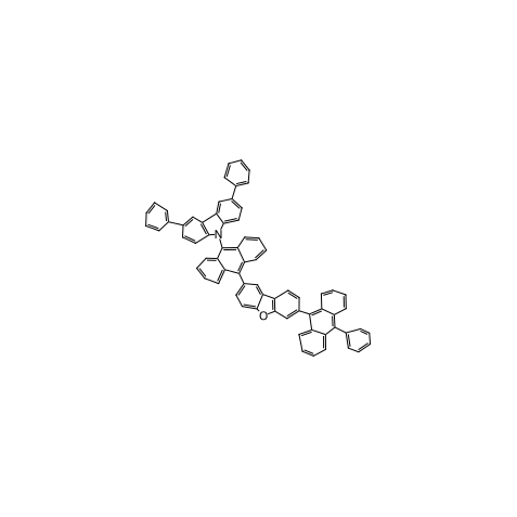 c1ccc(-c2ccc3c(c2)c2cc(-c4ccccc4)ccc2n3-c2c3ccccc3c(-c3ccc4oc5cc(-c6c7ccccc7c(-c7ccccc7)c7ccccc67)ccc5c4c3)c3ccccc23)cc1